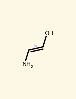 N/C=C/O